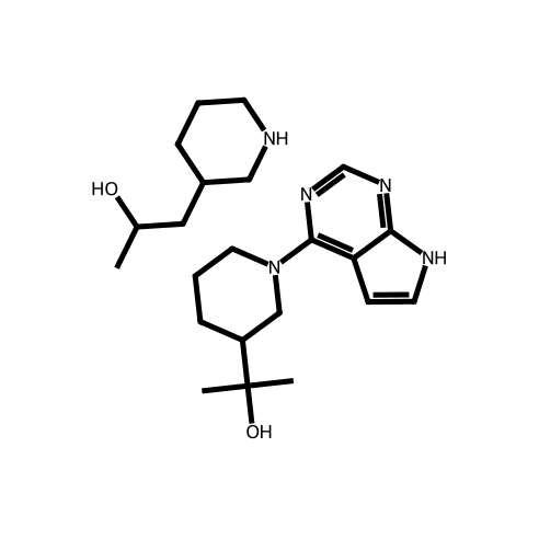 CC(C)(O)C1CCCN(c2ncnc3[nH]ccc23)C1.CC(O)CC1CCCNC1